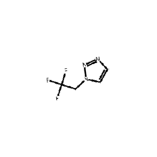 FC(F)(F)Cn1c[c]nn1